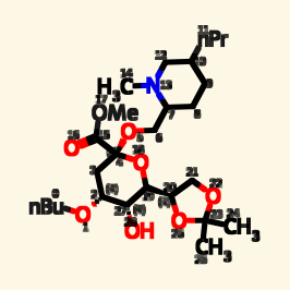 CCCCO[C@@H]1C[C@](OCC2CCC(CCC)CN2C)(C(=O)OC)OC([C@H]2COC(C)(C)O2)[C@@H]1O